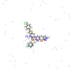 Cn1cc(Cc2cn(C(Cc3ccc(-c4ccc(Cl)cc4)s3)C(N)=O)c(SCc3ccc(F)cc3)nc2=O)cn1